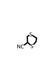 N#CC1CSCCS1